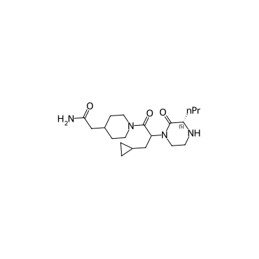 CCC[C@@H]1NCCN(C(CC2CC2)C(=O)N2CCC(CC(N)=O)CC2)C1=O